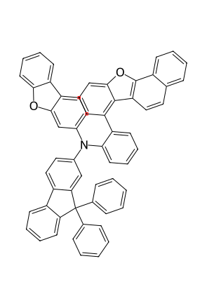 c1ccc(C2(c3ccccc3)c3ccccc3-c3ccc(N(c4ccc5c(c4)oc4ccccc45)c4ccccc4-c4cccc5oc6c7ccccc7ccc6c45)cc32)cc1